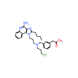 CCCCc1nc2c(N)nc3ccccc3c2n1CCCN(CCCCl)Cc1cccc(CC(=O)OC)c1